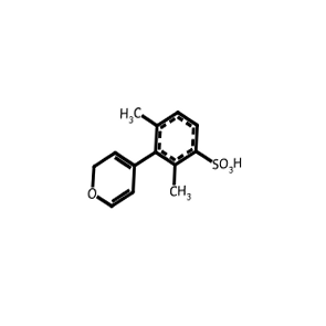 Cc1ccc(S(=O)(=O)O)c(C)c1C1=CCOC=C1